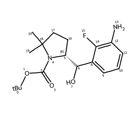 CC(C)(C)OC(=O)N1[C@@H](C(O)c2cccc(N)c2F)CCC1(C)C